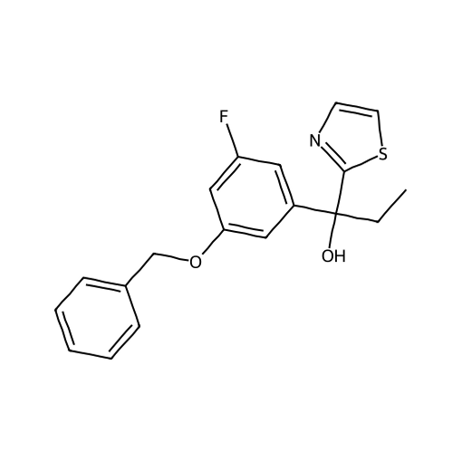 CCC(O)(c1cc(F)cc(OCc2ccccc2)c1)c1nccs1